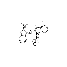 Cc1cccc2[nH][c]([Zr+2][C]3=c4ccccc4=CC3=[Si](C)C)c(C)c12.[Cl-].[Cl-]